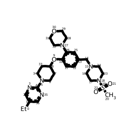 CCc1cnc(N2CCC(Oc3ccc(CN4CCN(S(C)(=O)=O)CC4)cc3N3CCOCC3)CC2)nc1